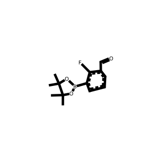 CC1(C)OB(c2cccc(C=O)c2F)OC1(C)C